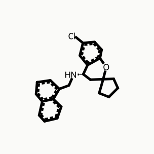 Clc1ccc2c(c1)[C@@H](NCc1cccc3ccccc13)CC1(CCCC1)O2